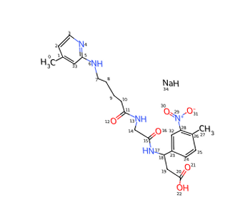 Cc1ccnc(NCCCCC(=O)NCC(=O)NC(CC(=O)O)c2ccc(C)c([N+](=O)[O-])c2)c1.[NaH]